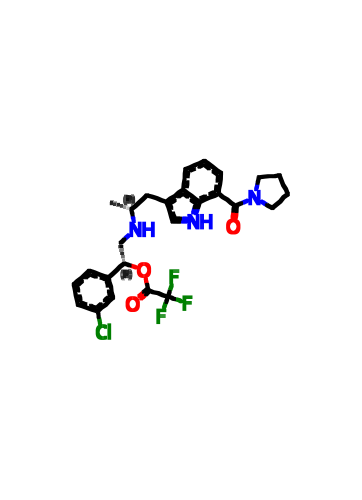 C[C@H](Cc1c[nH]c2c(C(=O)N3CCCC3)cccc12)NC[C@H](OC(=O)C(F)(F)F)c1cccc(Cl)c1